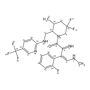 CN/C=C(\C(=N)C(=O)N1CC(F)(F)CC(C)C1CNc1ccc(C(F)(F)F)cn1)c1ccccc1F